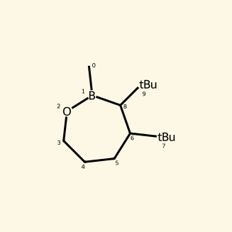 CB1OCCCC(C(C)(C)C)C1C(C)(C)C